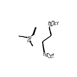 CCCCCCCCCCCCCCCCCC.C[SiH](C)C